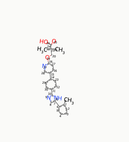 Cc1ccccc1-c1cnc(-c2ccc(-c3ccc(OCC(C)(C)C(=O)O)nc3)cc2)[nH]1